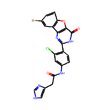 O=C(Cc1c[nH]cn1)Nc1ccc(-c2nc3c(oc4ccc(Br)cc43)c(=O)[nH]2)c(Cl)c1